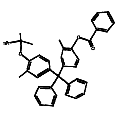 CCCC(C)(C)Oc1ccc(C(c2ccccc2)(c2ccccc2)c2ccc(OC(=O)c3ccccc3)c(C)c2)cc1C